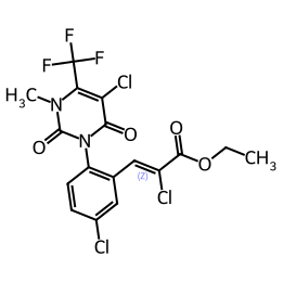 CCOC(=O)/C(Cl)=C/c1cc(Cl)ccc1-n1c(=O)c(Cl)c(C(F)(F)F)n(C)c1=O